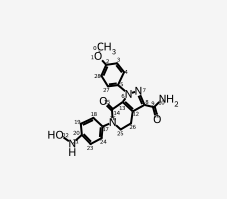 COc1ccc(-n2nc(C(N)=O)c3c2C(=O)N(c2ccc(NO)cc2)CC3)cc1